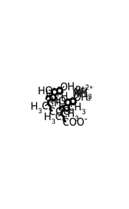 C[C@H](CCC(=O)[O-])[C@H]1CCC2C3C(CC[C@@]21C)[C@@]1(C)CC[C@H](O)CC1C[C@@H]3O.C[C@H](CCC(=O)[O-])[C@H]1CC[C@@H]2C3C(CC[C@@]21C)[C@@]1(C)CC[C@H](O)CC1C[C@@H]3O.N.N.[Pt+2]